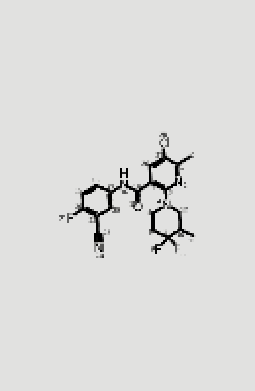 Cc1nc(N2CCC(F)(F)C(C)C2)c(C(=O)Nc2ccc(F)c(C#N)c2)cc1Cl